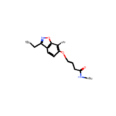 CCCCNC(=O)CCCOc1ccc2c(CC(C)(C)C)noc2c1CCC